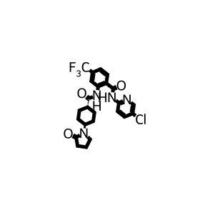 O=C(Nc1ccc(Cl)cn1)c1ccc(C(F)(F)F)cc1NC(=O)[C@H]1CC[C@H](N2CCCC2=O)CC1